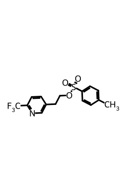 Cc1ccc(S(=O)(=O)OCCc2ccc(C(F)(F)F)nc2)cc1